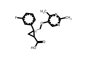 Cc1ncc(OC[C@@]2(c3cccc(F)c3)CC2C(=O)O)c(C)n1